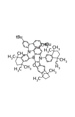 Cc1cc2c3c(c1)N(c1ccc4c(c1)C(C)(C)CCC4(C)C)c1c(oc4cc5c(cc14)C1(C)CCC5(C)C1)B3c1cc3c(cc1N2c1ccc(C(C)(C)C)cc1-c1ccc(C(C)(C)C)cc1)C(C)(C)CCC3(C)C